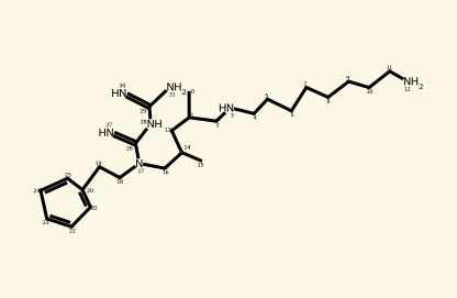 CC(CNCCCCCCCCN)CC(C)CN(CCc1ccccc1)C(=N)NC(=N)N